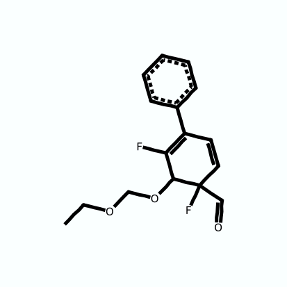 CCOCOC1C(F)=C(c2ccccc2)C=CC1(F)C=O